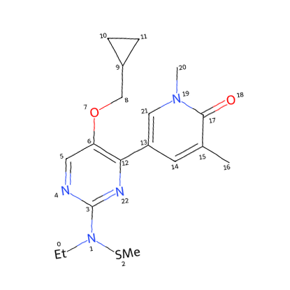 CCN(SC)c1ncc(OCC2CC2)c(-c2cc(C)c(=O)n(C)c2)n1